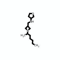 CCCCCC(C)N1CC(CNC2CCOC2)C1